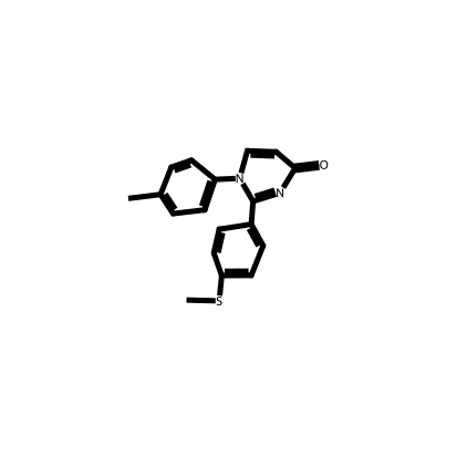 CSc1ccc(-c2nc(=O)ccn2-c2ccc(C)cc2)cc1